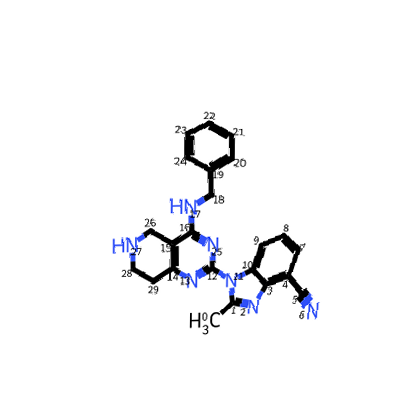 Cc1nc2c(C#N)cccc2n1-c1nc2c(c(NCc3ccccc3)n1)CNCC2